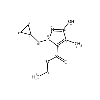 CCOC(=O)c1c(C)c(O)nn1CC1CC1